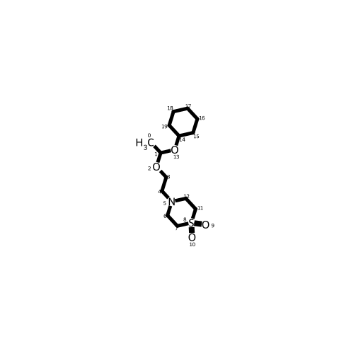 CC(OCCN1CCS(=O)(=O)CC1)OC1CCCCC1